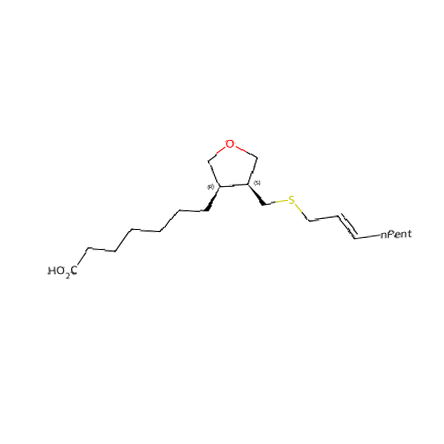 CCCCCC=CCSC[C@@H]1COC[C@@H]1CCCCCCC(=O)O